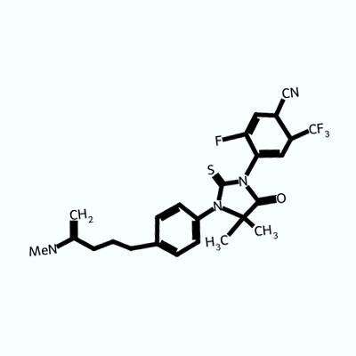 C=C(CCCc1ccc(N2C(=S)N(C3=CC(C(F)(F)F)C(C#N)C=C3F)C(=O)C2(C)C)cc1)NC